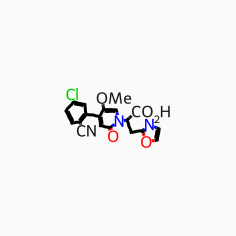 COc1cn(C(Cc2ncco2)C(=O)O)c(=O)cc1-c1cc(Cl)ccc1C#N